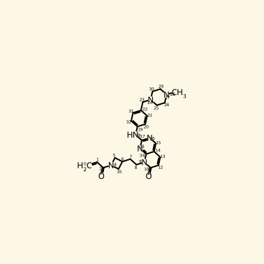 C=CC(=O)N1CC(CCn2c(=O)ccc3cnc(Nc4ccc(CN5CCN(C)CC5)cc4)nc32)C1